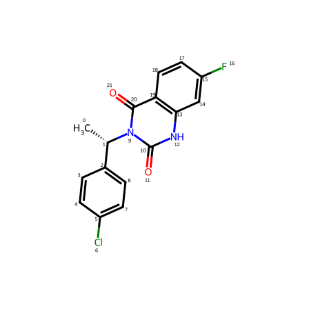 C[C@@H](c1ccc(Cl)cc1)n1c(=O)[nH]c2cc(F)ccc2c1=O